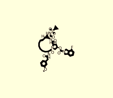 COc1cccc(CC(=O)N[C@H]2CCCCC/C=C/[C@@H]3C[C@@]3(C(=O)NS(=O)(=O)C3CC3)NC(=O)[C@@H]3C[C@@H](OC(=O)N4Cc5cccc(F)c5C4)CN3C2=O)c1